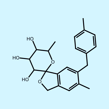 Cc1ccc(Cc2cc3c(cc2C)COC32OC(C)C(O)C(O)C2O)cc1